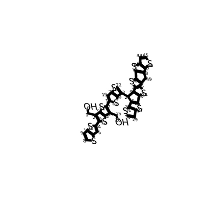 OCc1c(-c2cc3sccc3s2)sc2c(CO)c(-c3cc4scc(C5c6c(sc7ccsc67)-c6sc7c8c(sc7c65)-c5sc6ccsc6c5C8)c4s3)sc12